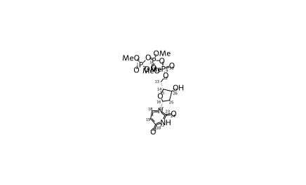 COP(=O)(OC)OP(=O)(OC)OP(=O)(OC)OC[C@H]1O[C@@H](n2ccc(=O)[nH]c2=O)CC1O